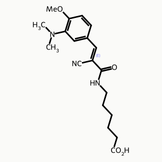 COc1ccc(/C=C(\C#N)C(=O)NCCCCCC(=O)O)cc1N(C)C